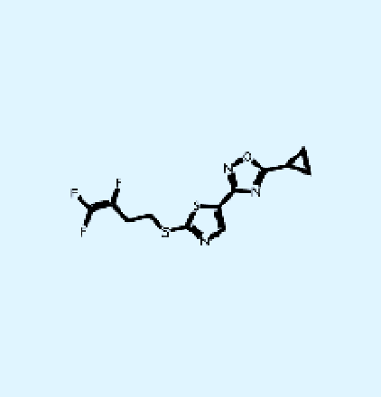 FC(F)=C(F)CCSc1ncc(-c2noc(C3CC3)n2)s1